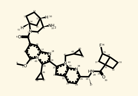 COc1cc(C(=O)N2C[C@H](N)[C@H]3CC[C@@H]2C3)cc2nc(-c3cc4ccc([C@@H](C)NC(=O)C56CCC5C(F)C6)nc4n3CC3CC3)c(C3CC3)n12